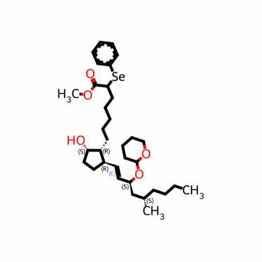 CCCC[C@H](C)C[C@@H](/C=C/[C@H]1CC[C@H](O)[C@@H]1CCCCCC([Se]c1ccccc1)C(=O)OC)OC1CCCCO1